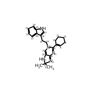 CC1(C)N=C2N=C(C3=CCCCC3)N(CCc3c[nH]c4ccccc34)C=C2N1